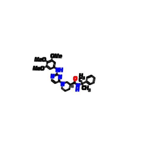 COc1cc(Nc2nccc(N3CCC[C@H](C(=O)NC(C)(C)c4ccccc4)C3)n2)cc(OC)c1OC